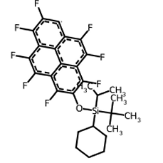 CC(C)[Si](Oc1c(F)c2c(F)c(F)c3[c]c(F)c(F)c4c(F)c(F)c(c1F)c2c34)(C1CCCCC1)C(C)(C)C